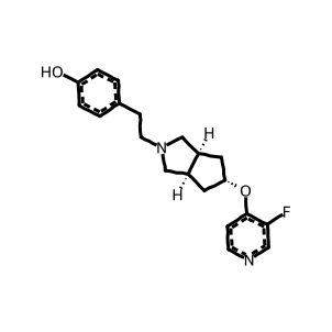 Oc1ccc(CCN2C[C@H]3C[C@H](Oc4ccncc4F)C[C@H]3C2)cc1